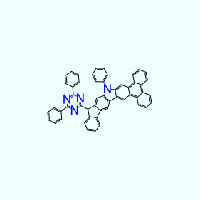 c1ccc(-c2nc(-c3ccccc3)nc(C3c4ccccc4-c4cc5c6cc7c8ccccc8c8ccccc8c7cc6n(-c6ccccc6)c5cc43)n2)cc1